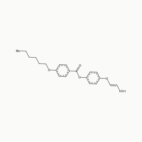 CCCCCCCCC=COc1ccc(OC(=O)c2ccc(OCCCCCC(C)CC)cc2)cc1